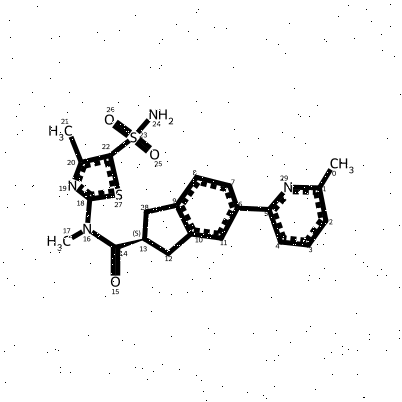 Cc1cccc(-c2ccc3c(c2)C[C@@H](C(=O)N(C)c2nc(C)c(S(N)(=O)=O)s2)C3)n1